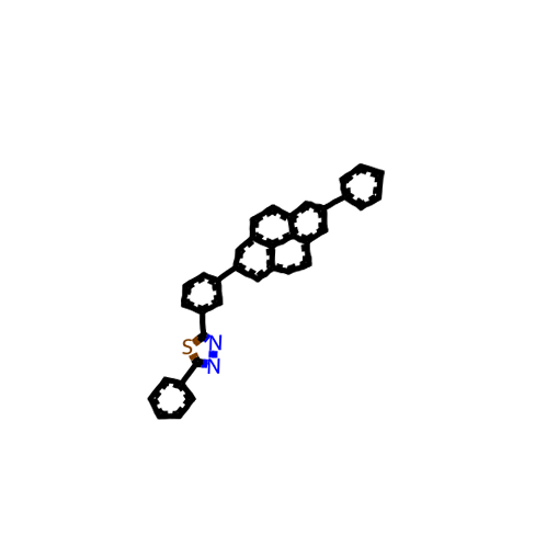 c1ccc(-c2cc3ccc4cc(-c5cccc(-c6nnc(-c7ccccc7)s6)c5)cc5ccc(c2)c3c45)cc1